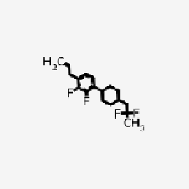 C=CCc1ccc(C2CCC(CC(C)(F)F)CC2)c(F)c1F